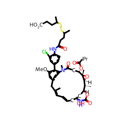 COc1cc2cc(c1-c1ccc(NC(=O)CCC(C)SSC(C)CCC(=O)O)c(Cl)c1)N(C)C(=O)C[C@H](OC(=O)C(C)C)[C@]1(C)O[C@H]1[C@H](C)[C@@H]1C[C@](O)(C/C=C/C=C(\C)C2)NC(=O)O1